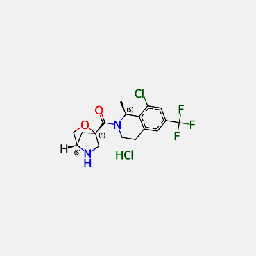 C[C@H]1c2c(Cl)cc(C(F)(F)F)cc2CCN1C(=O)[C@]12CN[C@H](CO1)C2.Cl